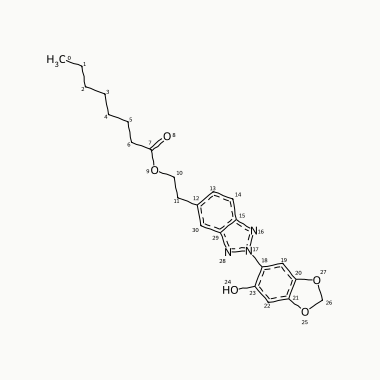 CCCCCCCC(=O)OCCc1ccc2nn(-c3cc4c(cc3O)OCO4)nc2c1